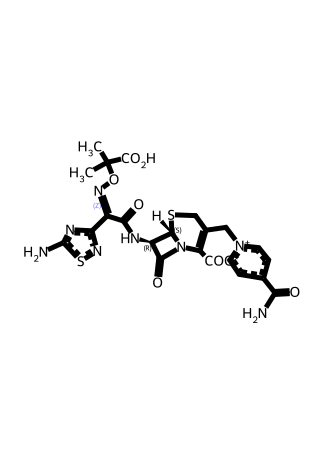 CC(C)(O/N=C(\C(=O)N[C@@H]1C(=O)N2C(C(=O)[O-])=C(C[n+]3ccc(C(N)=O)cc3)CS[C@@H]12)c1nsc(N)n1)C(=O)O